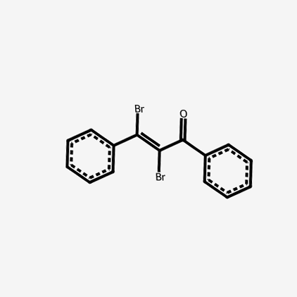 O=C(C(Br)=C(Br)c1ccccc1)c1ccccc1